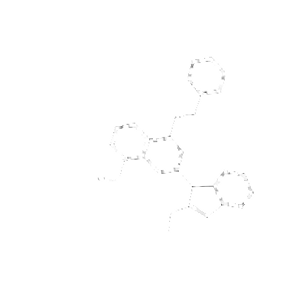 COc1cccc2c(CCc3ccccc3)cc(C3C(CC(C)=O)=Cc4ccccc43)cc12